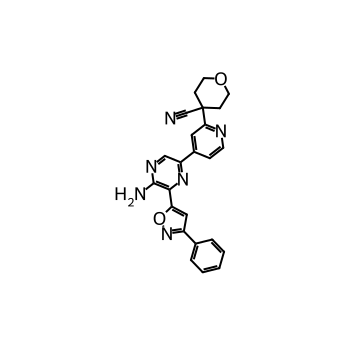 N#CC1(c2cc(-c3cnc(N)c(-c4cc(-c5ccccc5)no4)n3)ccn2)CCOCC1